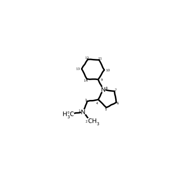 CN(C)CC1CCCN1C1CCCCC1